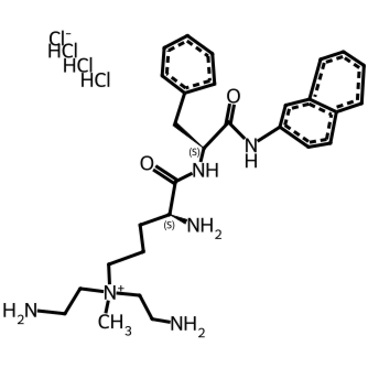 C[N+](CCN)(CCN)CCC[C@H](N)C(=O)N[C@@H](Cc1ccccc1)C(=O)Nc1ccc2ccccc2c1.Cl.Cl.Cl.[Cl-]